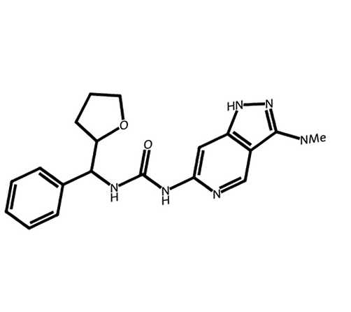 CNc1n[nH]c2cc(NC(=O)NC(c3ccccc3)C3CCCO3)ncc12